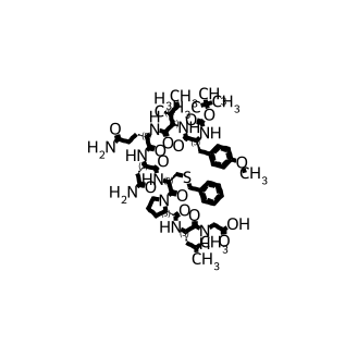 CC[C@H](C)[C@H](NC(=O)[C@H](Cc1ccc(OC)cc1)NC(=O)OC(C)(C)C)C(=O)N[C@@H](CCC(N)=O)C(=O)N[C@@H](CC(N)=O)C(=O)N[C@@H](CSCc1ccccc1)C(=O)N1CCC[C@H]1C(=O)N[C@@H](CC(C)C)C(=O)NCC(=O)O